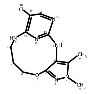 Cc1c2c(nn1C)OCCCNc1nc(ncc1Cl)N2